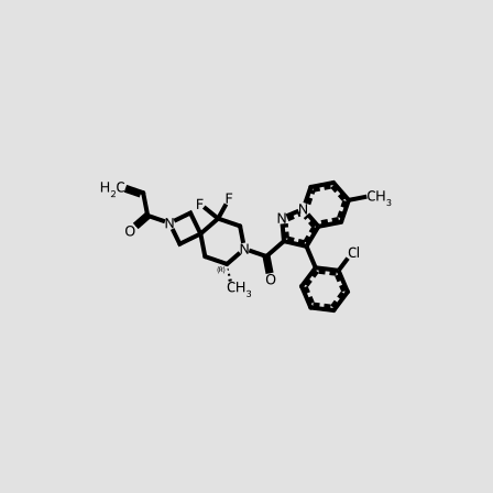 C=CC(=O)N1CC2(C[C@@H](C)N(C(=O)c3nn4ccc(C)cc4c3-c3ccccc3Cl)CC2(F)F)C1